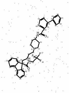 O=C(NC1CCN(CCCCC2(C(=O)NCC(F)(F)F)c3ccccc3-c3ccccc32)CC1)c1cc(-c2ccccc2)ccn1